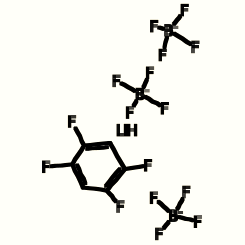 F[B-](F)(F)F.F[B-](F)(F)F.F[B-](F)(F)F.Fc1cc(F)c(F)cc1F.[LiH]